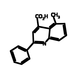 Cc1cccc2nc(-c3ccccc3)cc(C(=O)O)c12